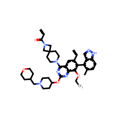 C=CC(=O)N1CC2(CCN(c3nc(OC4CCN(CC5CCOCC5)CC4)nc4c(OCC(F)(F)F)c(-c5c(C)ccc6[nH]ncc56)c(C=C)cc34)CC2)C1